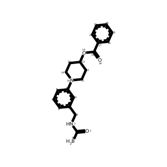 BC(=O)NCc1cccc(N2CCC(OC(=O)c3ccccc3)CC2)c1